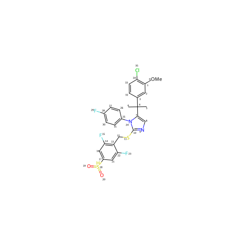 COc1cc(C(C)(C)c2cnc(SCc3c(F)cc([SH](=O)=O)cc3F)n2-c2ccc(F)cc2)ccc1Cl